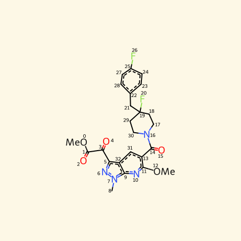 COC(=O)C(=O)c1nn(C)c2nc(OC)c(C(=O)N3CCC(F)(Cc4ccc(F)cc4)CC3)cc12